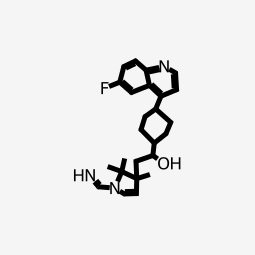 CC1(CC(O)C2CCC(c3ccnc4ccc(F)cc34)CC2)C=CN(C=N)C1(C)C